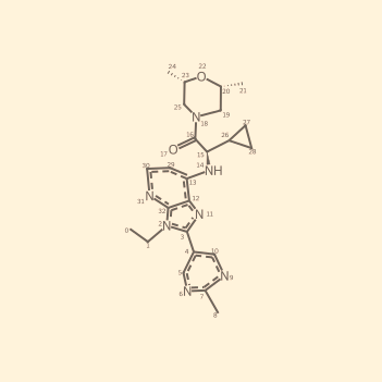 CCn1c(-c2cnc(C)nc2)nc2c(N[C@@H](C(=O)N3C[C@@H](C)O[C@@H](C)C3)C3CC3)ccnc21